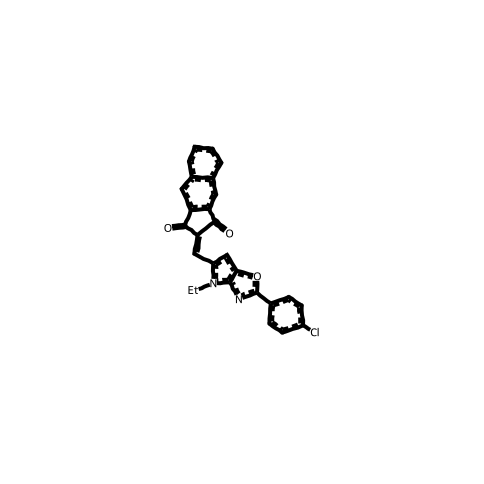 CCn1c(C=C2C(=O)c3cc4ccccc4cc3C2=O)cc2oc(-c3ccc(Cl)cc3)nc21